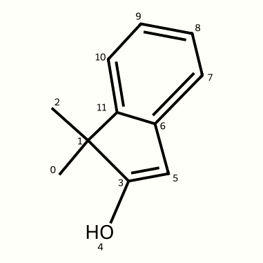 CC1(C)C(O)=Cc2ccccc21